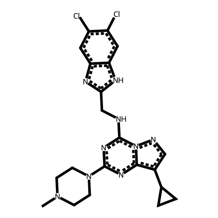 CN1CCN(c2nc(NCc3nc4cc(Cl)c(Cl)cc4[nH]3)n3ncc(C4CC4)c3n2)CC1